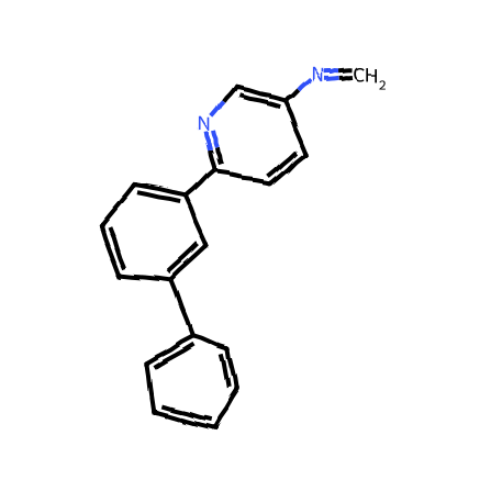 C=Nc1ccc(-c2cccc(-c3ccccc3)c2)nc1